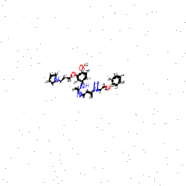 C=C(/N=C\C=C(/C)NCCOc1ccccc1)Nc1ccc(OC)c(OCCCN2CCCC2)c1